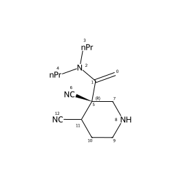 C=C(N(CCC)CCC)[C@]1(C#N)CNCCC1C#N